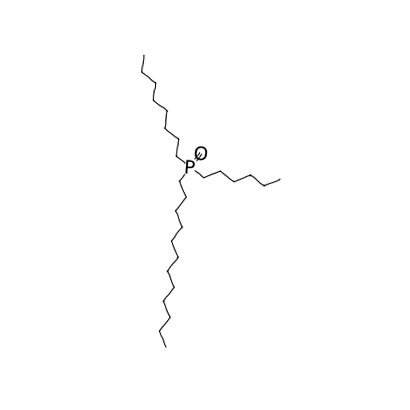 CCCCCCCCCCCCP(=O)(CCCCCC)CCCCCCCC